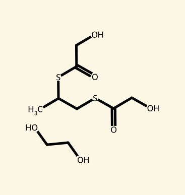 CC(CSC(=O)CO)SC(=O)CO.OCCO